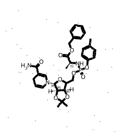 Cc1ccc(OP(=O)(N[C@@H](C)C(=O)OCc2ccccc2)OCC2O[C@@H](N3C=CCC(C(N)=O)=C3)[C@@H]3OC(C)(C)O[C@H]23)cc1